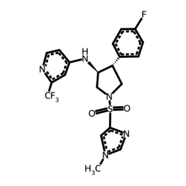 Cn1cnc(S(=O)(=O)N2C[C@@H](Nc3ccnc(C(F)(F)F)c3)[C@H](c3ccc(F)cc3)C2)c1